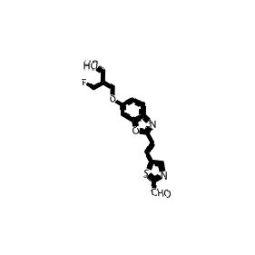 O=Cc1ncc(/C=C/c2nc3ccc(OCC(CO)CF)cc3o2)s1